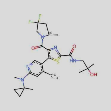 C[C@H]1CC(F)(F)CN1C(=O)c1nc(C(=O)NCC(C)(C)O)sc1-c1cnc(N(C)C2(C)CC2)cc1C(F)(F)F